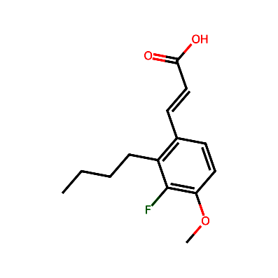 CCCCc1c(C=CC(=O)O)ccc(OC)c1F